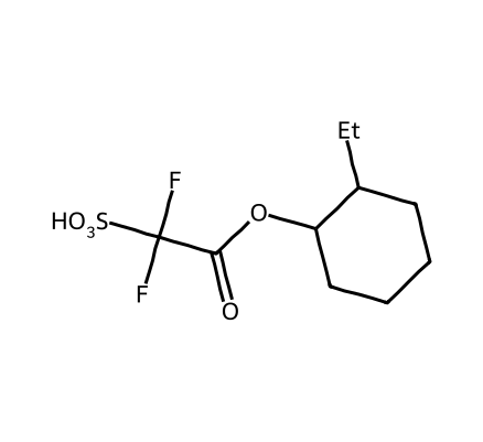 CCC1CCCCC1OC(=O)C(F)(F)S(=O)(=O)O